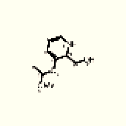 COC(C)OC1=CC=CN[C]1CO